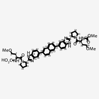 COCC[C@H](NC(=O)O)C(=O)N1CCC[C@H]1c1nc2cc(-c3ccc4cc(-c5ccc6[nH]c([C@@H]7CCCN7C(=O)[C@H](CCOC)NC(=O)OC)nc6c5)ccc4c3)ccc2[nH]1